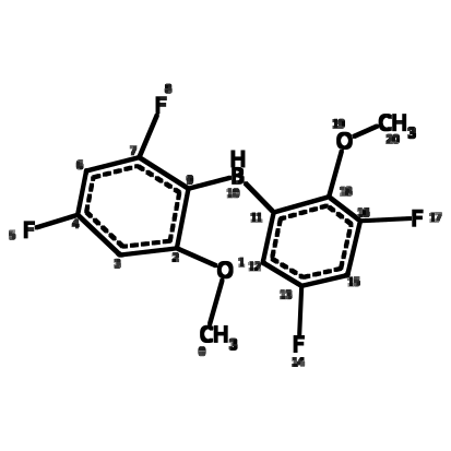 COc1cc(F)cc(F)c1Bc1cc(F)cc(F)c1OC